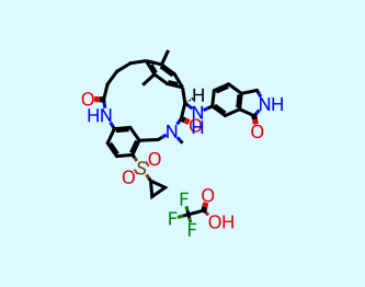 Cc1cc2cc(C)c1CCCC(=O)Nc1ccc(S(=O)(=O)C3CC3)c(c1)CN(C)C(=O)[C@@H]2Nc1ccc2c(c1)C(=O)NC2.O=C(O)C(F)(F)F